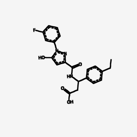 CCc1ccc(C(CC(=O)O)NC(=O)c2cc(O)n(-c3cccc(F)c3)n2)cc1